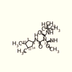 COC(=N)N(C(=O)NC1CC(C)C(C)C1)C(=O)NC(C)(C)C